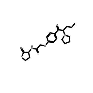 CCCC(C(=O)c1ccc(OCC(=O)NC2CCSC2=O)cc1)N1CCCC1